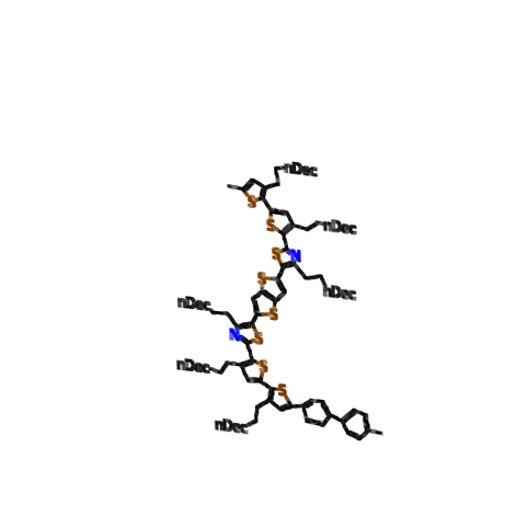 CCCCCCCCCCCCc1cc(C)sc1-c1cc(CCCCCCCCCCCC)c(-c2nc(CCCCCCCCCCCC)c(-c3cc4sc(-c5sc(-c6sc(-c7sc(-c8ccc(-c9ccc(C)cc9)cc8)cc7CCCCCCCCCCCC)cc6CCCCCCCCCCCC)nc5CCCCCCCCCCCC)cc4s3)s2)s1